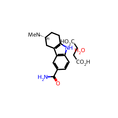 CN[C@@H]1CCc2[nH]c3ccc(C(N)=O)cc3c2C1.O.O=C(O)CCC(=O)O